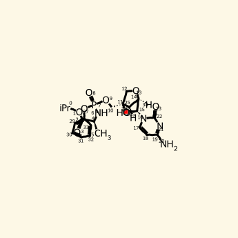 CC(C)OC(=O)[C@H](C)N[P@@](=O)(OC[C@@]12CO[C@@H]([C@H](n3ccc(N)nc3=O)O1)[C@@H]2O)Oc1ccccc1